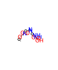 Cc1cccc(OCCCC(=O)N2CCOc3c(-c4cnn(Cc5cccc(NC(=O)NCC(=O)O)c5)c4)cccc32)c1C